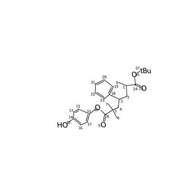 CC(CC(CC(C)(C)C(=O)Oc1ccc(O)cc1)c1ccccc1)C(=O)OC(C)(C)C